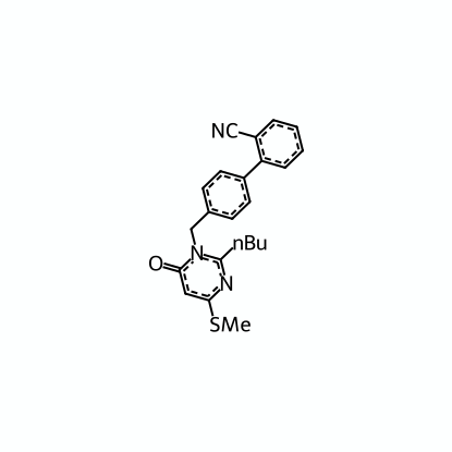 CCCCc1nc(SC)cc(=O)n1Cc1ccc(-c2ccccc2C#N)cc1